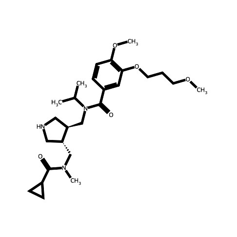 COCCCOc1cc(C(=O)N(C[C@@H]2CNC[C@H]2CN(C)C(=O)C2CC2)C(C)C)ccc1OC